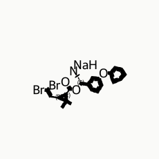 CC1(C)[C@H](C(=O)O[C@H](C#N)c2cccc(Oc3ccccc3)c2)[C@@H]1C=C(Br)Br.[NaH]